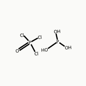 O=P(Cl)(Cl)Cl.OP(O)O